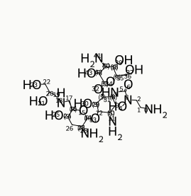 NCCN(O)C(=O)N[C@@H]1C[C@H](N)C(O[C@H]2O[C@H](CNCC(O)CO)[C@@H](O)C[C@H]2N)[C@H](O)[C@H]1O[C@H]1O[C@H](CO)[C@@H](O)[C@H](N)[C@H]1O